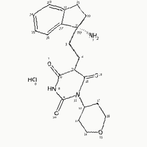 Cl.N[C@@]1(CCC2C(=O)NC(=O)N(C3CCOCC3)C2=O)CCc2ccccc21